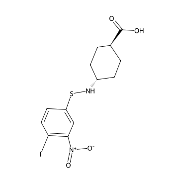 O=C(O)[C@H]1CC[C@H](NSc2ccc(I)c([N+](=O)[O-])c2)CC1